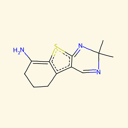 CC1(C)N=Cc2c3c(sc2=N1)=C(N)CCC3